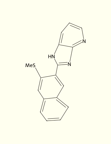 CSc1cc2ccccc2cc1-c1nc2ncccc2[nH]1